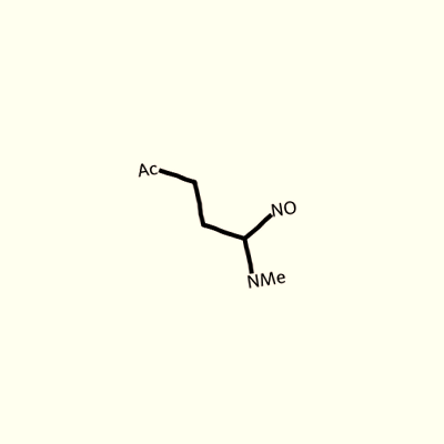 CNC(CCC(C)=O)N=O